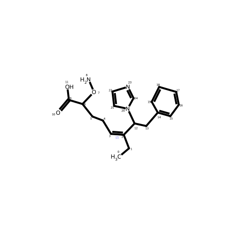 CC/C(=C/CCC(ON)C(=O)O)C(Cc1ccccc1)n1ccnc1